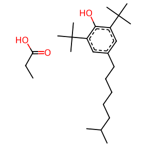 CC(C)CCCCCc1cc(C(C)(C)C)c(O)c(C(C)(C)C)c1.CCC(=O)O